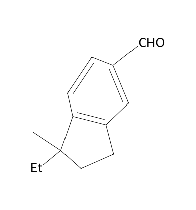 CCC1(C)CCc2cc(C=O)ccc21